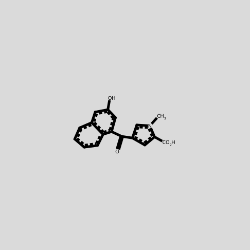 Cn1cc(C(=O)c2cc(O)cc3ccccc23)cc1C(=O)O